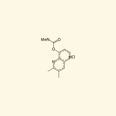 CNC(=O)Oc1cccc2cc(C)c(C)nc12.Cl